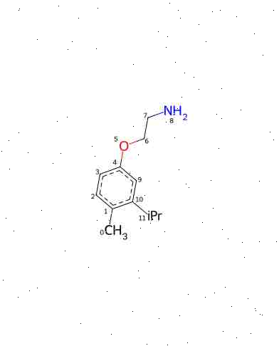 Cc1ccc(OCCN)cc1C(C)C